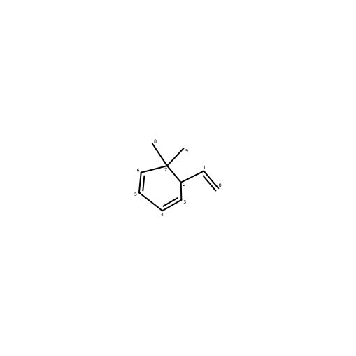 C=CC1C=CC=CC1(C)C